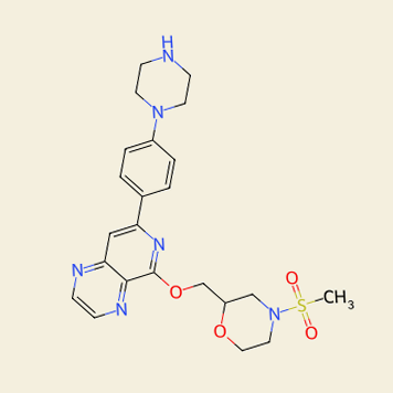 CS(=O)(=O)N1CCOC(COc2nc(-c3ccc(N4CCNCC4)cc3)cc3nccnc23)C1